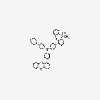 C[Si]1(C)c2ccccc2Oc2c(-c3ccc(N(c4ccc(-c5ccccc5)cc4)c4ccc(-c5cccc6c5Oc5ccccc5O6)cc4)cc3)cccc21